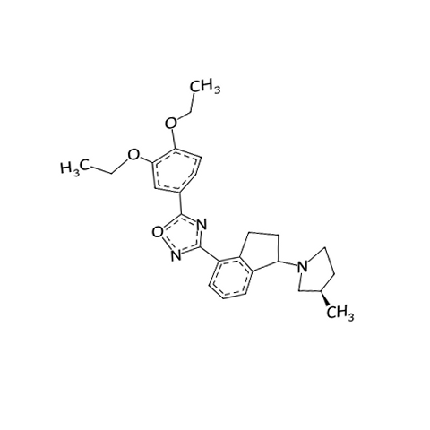 CCOc1ccc(-c2nc(-c3cccc4c3CCC4N3CC[C@@H](C)C3)no2)cc1OCC